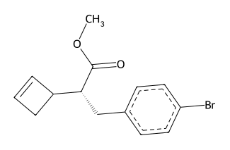 COC(=O)[C@H](Cc1ccc(Br)cc1)C1C=CC1